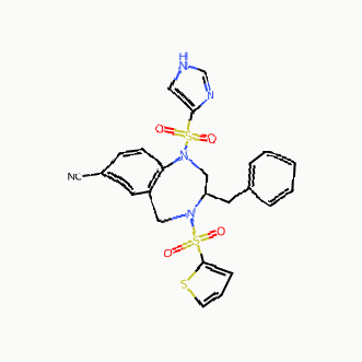 N#Cc1ccc2c(c1)CN(S(=O)(=O)c1cccs1)C(Cc1ccccc1)CN2S(=O)(=O)c1c[nH]cn1